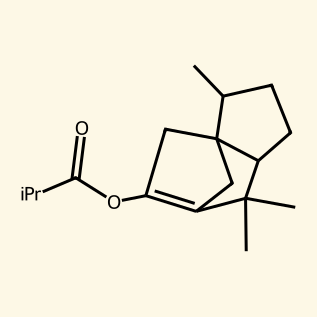 CC(C)C(=O)OC1=C2CC3(C1)C(C)CCC3C2(C)C